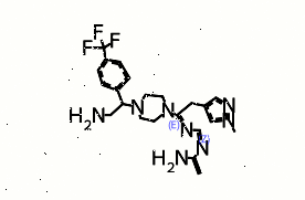 C=C(N)/N=C\N=C(/Cc1cnn(C)c1)N1CCN(C(CN)c2ccc(C(F)(F)F)cc2)CC1